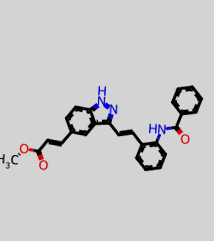 COC(=O)C=Cc1ccc2[nH]nc(C=Cc3ccccc3NC(=O)c3ccccc3)c2c1